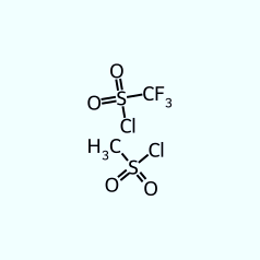 CS(=O)(=O)Cl.O=S(=O)(Cl)C(F)(F)F